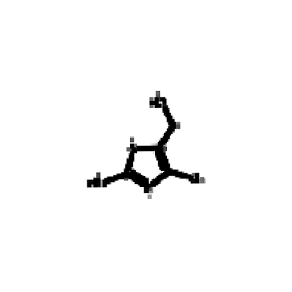 CCCCC1=NC(Cl)=C(CO)[N]1